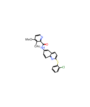 COc1ccnc(C(=O)Nc2ccc3nc(Sc4ccccc4Cl)ccc3c2)c1OC(C)=O